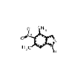 Cc1cc2c(cnn2Br)c(C)c1[N+](=O)[O-]